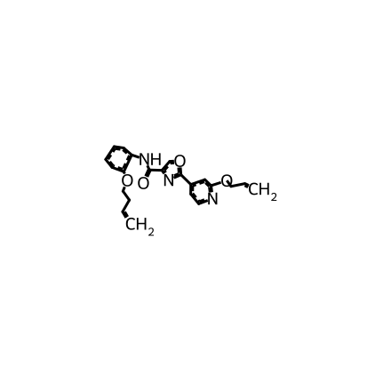 C=CCCOc1ccccc1NC(=O)c1coc(-c2ccnc(OCC=C)c2)n1